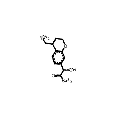 NCC1CCOc2cc(C(O)C(N)=O)ccc21